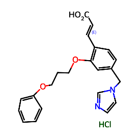 Cl.O=C(O)/C=C/c1ccc(Cn2ccnc2)cc1OCCCOc1ccccc1